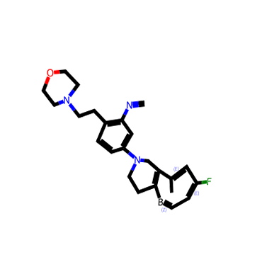 C=Nc1cc(N2CCC3=C(C2)C(/C)=C/C(F)=C\C=B/3)ccc1CCN1CCOCC1